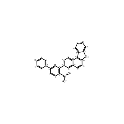 O=[N+]([O-])c1ccc(-c2ccccc2)cc1-c1ccc2c(ccc3sc4ccccc4c32)c1